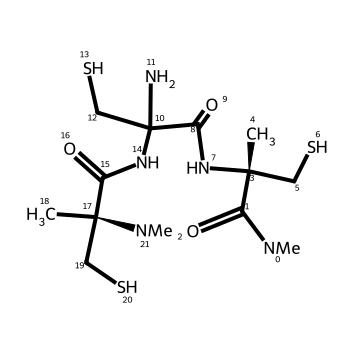 CNC(=O)[C@@](C)(CS)NC(=O)C(N)(CS)NC(=O)[C@@](C)(CS)NC